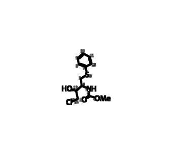 COC(=O)NC(CSc1ccccc1)C(O)CCl